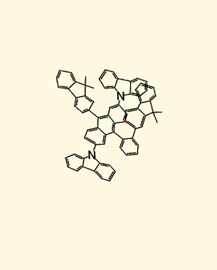 CC1(C)c2ccccc2-c2ccc(-c3ccccc3-c3c4ccc(-n5c6ccccc6c6ccccc65)cc4c(-c4ccc5c(c4)C(C)(C)c4ccccc4-5)c4ccc(-n5c6ccccc6c6ccccc65)cc34)cc21